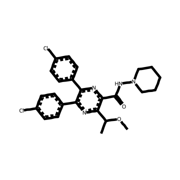 COC(C)c1nc(-c2ccc(Cl)cc2)c(-c2ccc(Cl)cc2)nc1C(=O)NN1CCCCC1